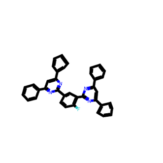 Fc1ccc(-c2nc(-c3ccccc3)cc(-c3ccccc3)n2)cc1-c1nc(-c2ccccc2)cc(-c2ccccc2)n1